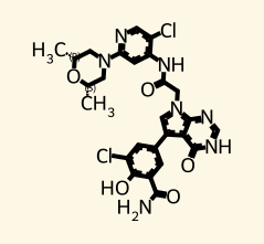 C[C@@H]1CN(c2cc(NC(=O)Cn3cc(-c4cc(Cl)c(O)c(C(N)=O)c4)c4c(=O)[nH]cnc43)c(Cl)cn2)C[C@H](C)O1